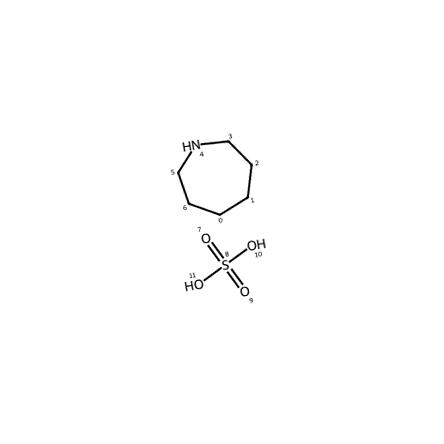 C1CCCNCC1.O=S(=O)(O)O